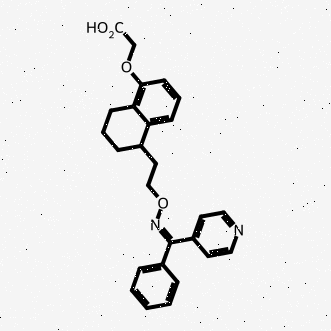 O=C(O)COc1cccc2c1CCCC2CCON=C(c1ccccc1)c1ccncc1